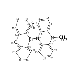 Cc1cccc2c1N(B1c3ccccc3Oc3ccccc31)c1ccccc1N2C